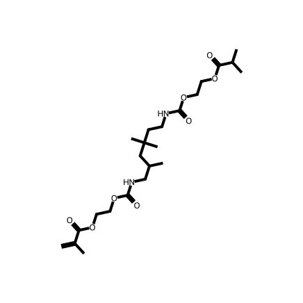 C=C(C)C(=O)OCCOC(=O)NCC(C)CC(C)(C)CCNC(=O)OCCOC(=O)C(C)C